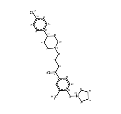 Cc1cc(C(=O)CCCN2CCC(c3ccc(Cl)cc3)CC2)ccc1CN1CCCC1